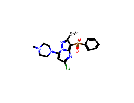 CSc1nn2c(N3CCN(C)CC3)cc(Cl)nc2c1S(=O)(=O)c1ccccc1